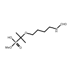 COP(=O)(O)C(C)(C)OCCCCNC=O